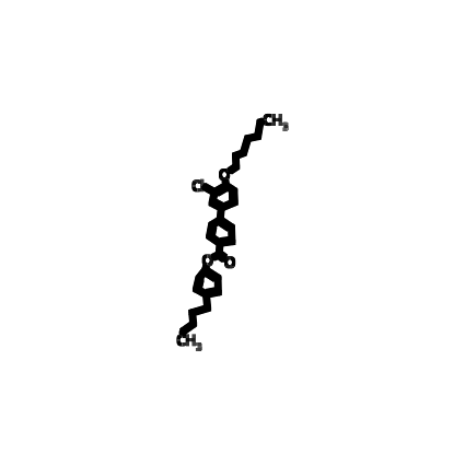 CCCCCCCOc1ccc(-c2ccc(C(=O)Oc3ccc(CCCCC)cc3)cc2)cc1Cl